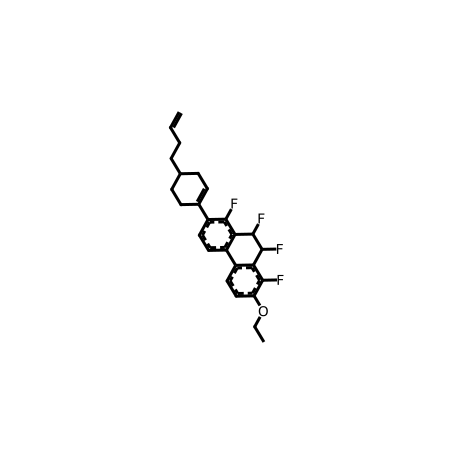 C=CCCC1CC=C(c2ccc3c(c2F)C(F)C(F)c2c-3ccc(OCC)c2F)CC1